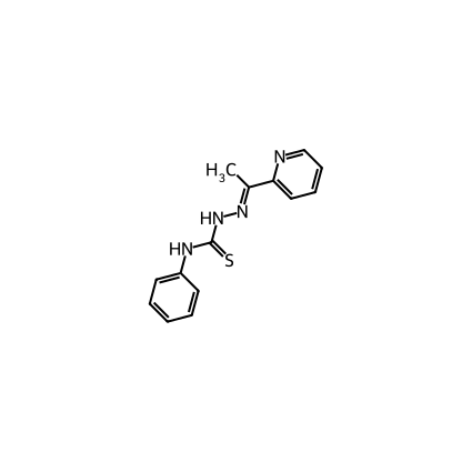 C/C(=N\NC(=S)Nc1ccccc1)c1ccccn1